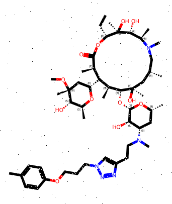 CC[C@H]1OC(=O)[C@H](C)C([C@H]2C[C@@](C)(OC)[C@@H](O)[C@H](C)O2)[C@H](C)[C@@H](O[C@@H]2O[C@H](C)C[C@H](N(C)CCc3cn(CCCOc4ccc(C)cc4)nn3)[C@H]2O)[C@](C)(O)C[C@@H](C)CN(C)[C@H](C)[C@@H](O)[C@]1(C)O